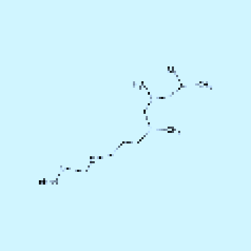 CCCCCCCCCOCOCCCC(C)CC(C)CC(C)Cl